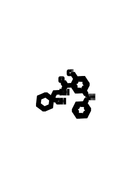 O=C(NCC1(O)CCCCC1)c1cc(Nc2ccccc2)ccc1Cl